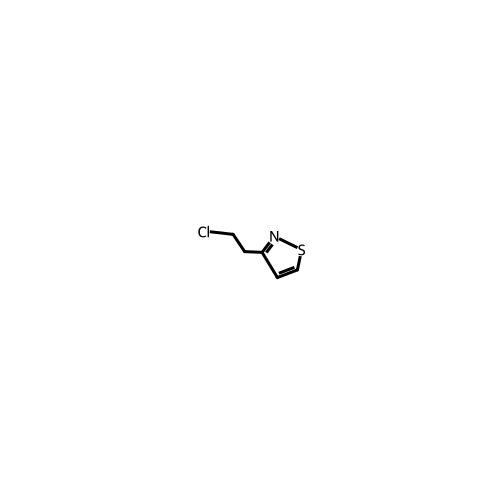 ClCCc1ccsn1